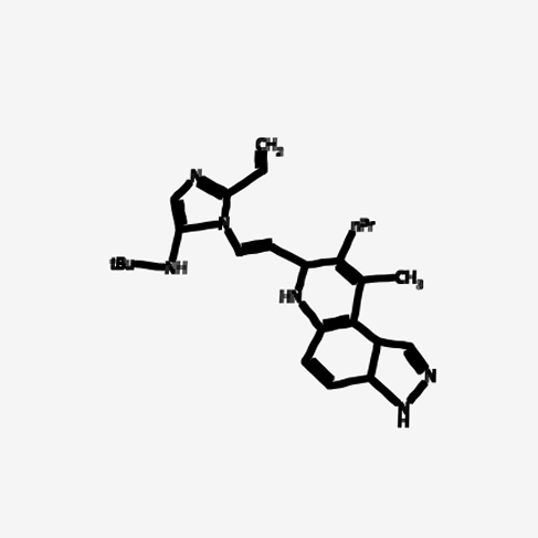 C=Cc1ncc(NC(C)(C)C)n1/C=C/C1NC2=C(C(C)=C1CCC)C1C=NNC1C=C2